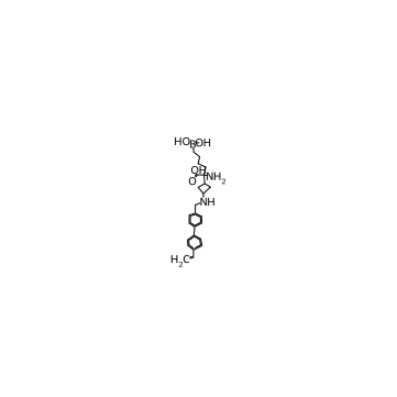 C=Cc1ccc(-c2ccc(CNC3CC(C(N)(CCCCB(O)O)C(=O)O)C3)cc2)cc1